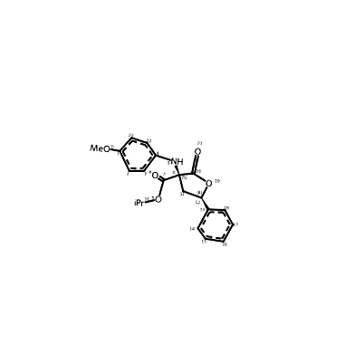 COc1ccc(N[C@]2(C(=O)OC(C)C)C[C@H](c3ccccc3)OC2=O)cc1